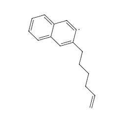 C=CCCCCc1[c]cc2ccccc2c1